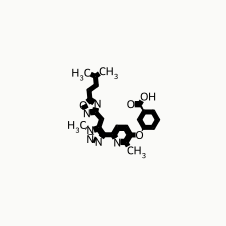 Cc1nc(-c2nnn(C)c2Cc2noc(CCC(C)C)n2)ccc1O[C@H]1CCC[C@H](C(=O)O)C1